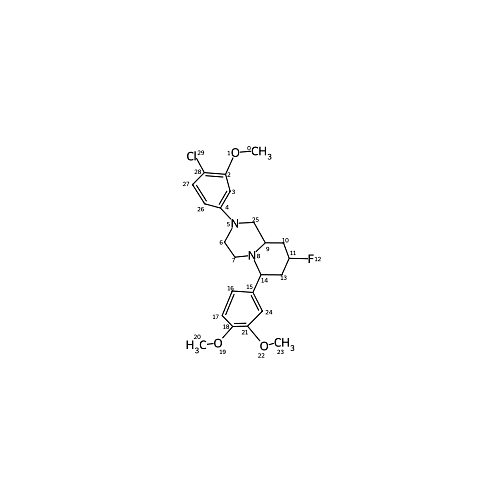 COc1cc(N2CCN3C(CC(F)CC3c3ccc(OC)c(OC)c3)C2)ccc1Cl